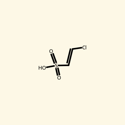 O=S(=O)(O)C=CCl